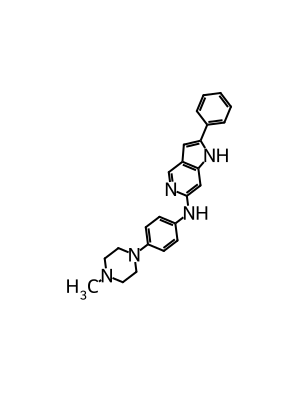 CN1CCN(c2ccc(Nc3cc4[nH]c(-c5ccccc5)cc4cn3)cc2)CC1